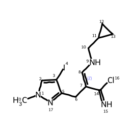 Cn1cc(I)c(C/C(=C/NCC2CC2)C(=N)Cl)n1